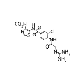 NC(N)=NCC(=O)Nc1ccc(S(=O)(=O)Nc2scnc2C(=O)O)cc1Cl